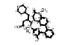 CN(C(=O)C(CC(=O)O)CC1CCOCC1)c1nc(-c2ccccc2-c2cnc3c(c2)CCC(=O)N3C)c(F)s1